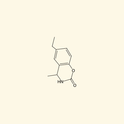 CCc1ccc2c(c1)C(C)NC(=O)O2